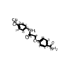 NC(=O)c1ccc(OCC(=O)Nc2ccc(OC(F)(F)F)cc2)cc1